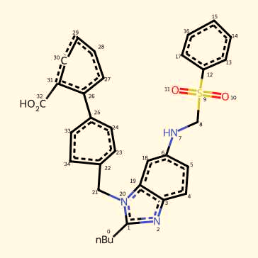 CCCCc1nc2ccc(NCS(=O)(=O)c3ccccc3)cc2n1Cc1ccc(-c2ccccc2C(=O)O)cc1